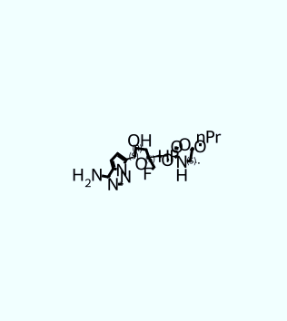 CCCOC(=O)[C@H](C)N[PH](=O)OC[C@]1(CF)C[C@@H](O)[C@H](c2ccc3c(N)ncnn23)O1